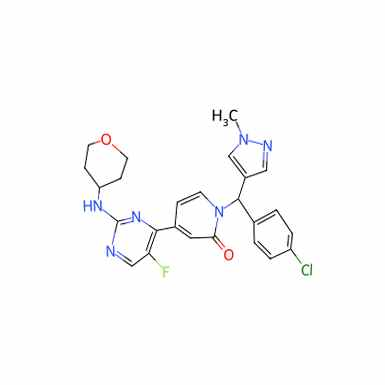 Cn1cc(C(c2ccc(Cl)cc2)n2ccc(-c3nc(NC4CCOCC4)ncc3F)cc2=O)cn1